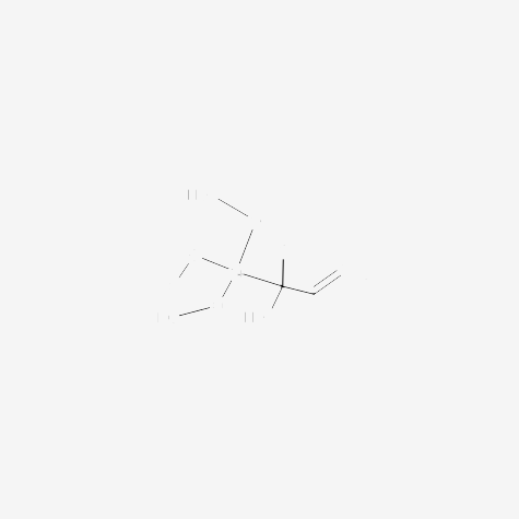 C=CC(C)(C)[Si](OC)(OC)OC